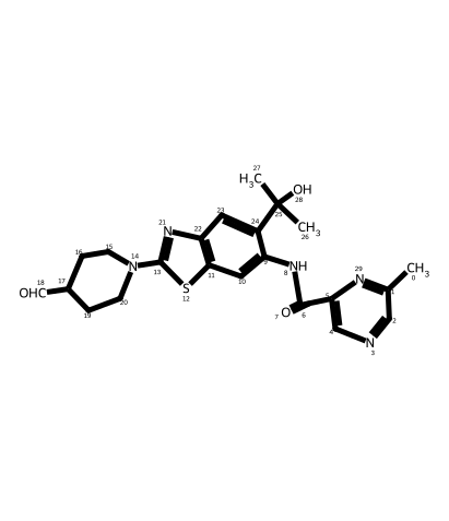 Cc1cncc(C(=O)Nc2cc3sc(N4CCC(C=O)CC4)nc3cc2C(C)(C)O)n1